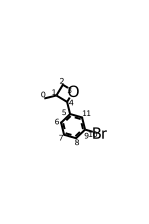 CC1COC1c1cccc(Br)c1